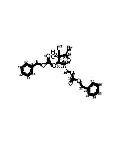 C[C@@]1(F)[C@H](OC(=O)OCc2ccccc2)[C@@H](COC(=O)OCc2ccccc2)O[C@@H]1Br